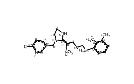 Cc1cccc([SiH2]CSC/C(=C2\NCCN2Cc2ccc(Cl)nc2)[N+](=O)[O-])c1C